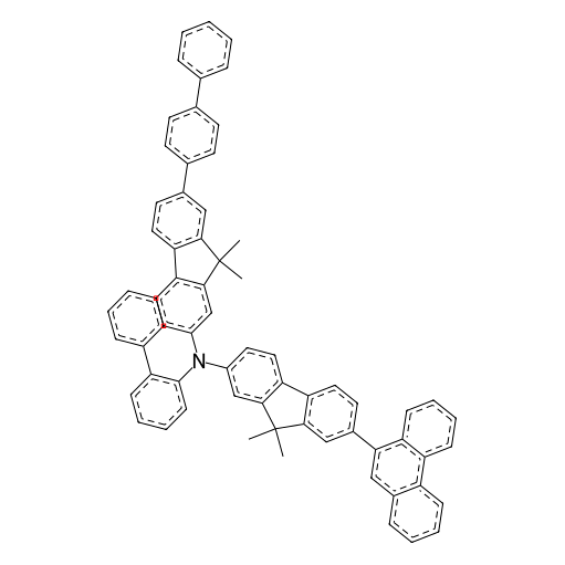 CC1(C)c2cc(-c3ccc(-c4ccccc4)cc3)ccc2-c2ccc(N(c3ccc4c(c3)C(C)(C)c3cc(-c5cc6ccccc6c6ccccc56)ccc3-4)c3ccccc3-c3ccccc3)cc21